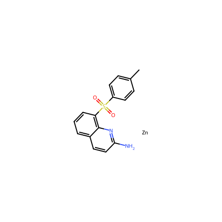 Cc1ccc(S(=O)(=O)c2cccc3ccc(N)nc23)cc1.[Zn]